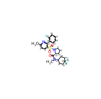 Cc1ccc(S(=O)(=O)N2CCC[C@H]2C(=O)N(C)C2CCC(F)(F)CC2)c(-c2ccccc2F)n1